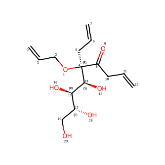 C=CCO[C@@](CC=C)(C(=O)CC=C)[C@@H](O)[C@H](O)[C@H](O)CO